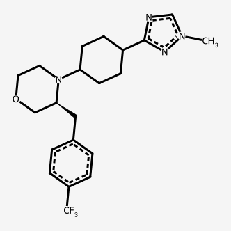 Cn1cnc(C2CCC(N3CCOC[C@@H]3Cc3ccc(C(F)(F)F)cc3)CC2)n1